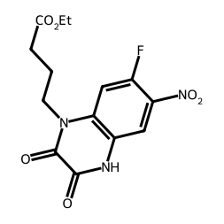 CCOC(=O)CCCn1c(=O)c(=O)[nH]c2cc([N+](=O)[O-])c(F)cc21